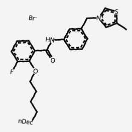 CCCCCCCCCCCCCCOc1c(F)cccc1C(=O)Nc1cccc(C[n+]2csc(C)c2)c1.[Br-]